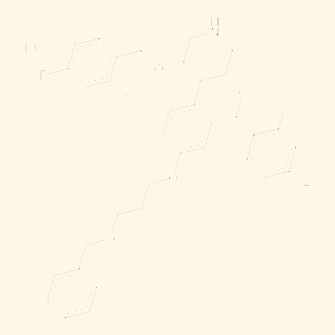 Cl.Fc1ccc(CO[C@H]2CNC[C@@H](OCc3ccc(F)cc3F)C2c2ccc(OCCCOCc3ccccc3)cc2)c(F)c1